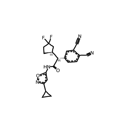 N#Cc1ccc([C@H](C(=O)Nc2cc(C3CC3)no2)[C@H]2CCC(F)(F)C2)cc1C#N